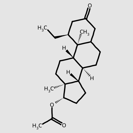 CC[C@H]1CC(=O)CC2CC[C@H]3[C@@H]4CC[C@H](OC(C)=O)[C@@]4(C)CC[C@@H]3[C@]21C